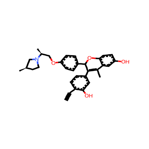 C#Cc1ccc(C2=C(C)c3cc(O)ccc3OC2c2ccc(OC[C@H](C)N3CC[C@@H](C)C3)cc2)cc1O